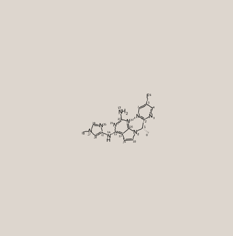 C[C@@H](c1ncc(F)cn1)n1ccc2c(Nc3cn(C)cn3)nc(N)nc21